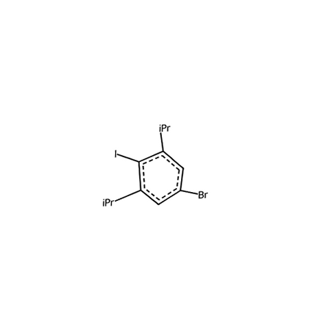 CC(C)c1cc(Br)cc(C(C)C)c1I